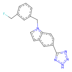 FCc1cccc(Cn2ccc3cc(-c4nn[nH]n4)ccc32)c1